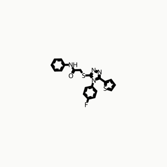 O=C(CSc1nnc(-c2cccs2)n1-c1ccc(F)cc1)Nc1ccccc1